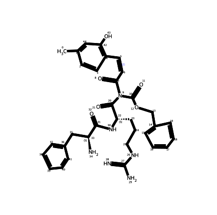 Cc1ccc(/C=C\C(=O)N(C(=O)OCc2ccccc2)C(=O)[C@H](CCCNC(=N)N)NC(=O)[C@@H](N)Cc2ccccc2)c(O)c1